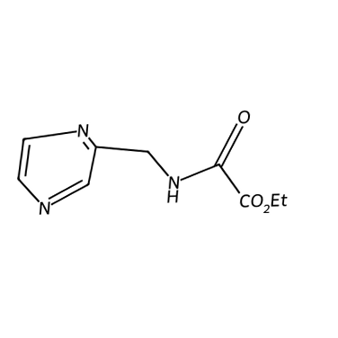 CCOC(=O)C(=O)NCc1cnccn1